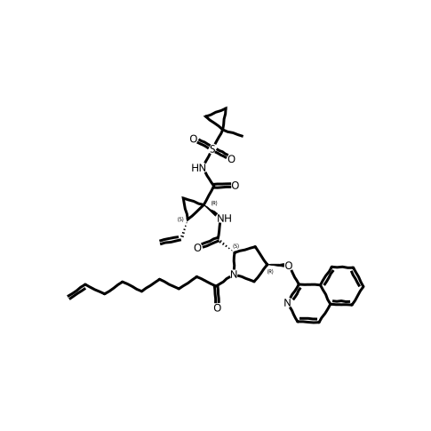 C=CCCCCCCC(=O)N1C[C@H](Oc2nccc3ccccc23)C[C@H]1C(=O)N[C@]1(C(=O)NS(=O)(=O)C2(C)CC2)C[C@H]1C=C